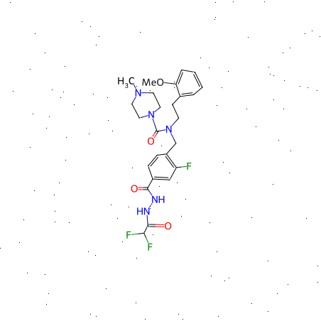 COc1ccccc1CCN(Cc1ccc(C(=O)NNC(=O)C(F)F)cc1F)C(=O)N1CCN(C)CC1